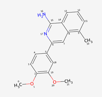 COc1ccc(-c2cc3c(C)cccc3c(N)n2)cc1OC